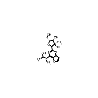 CC(O)N(N)c1nc(C2O[C@H](CO)[C@@H](O)[C@@]2(C)O)nc2ccoc12